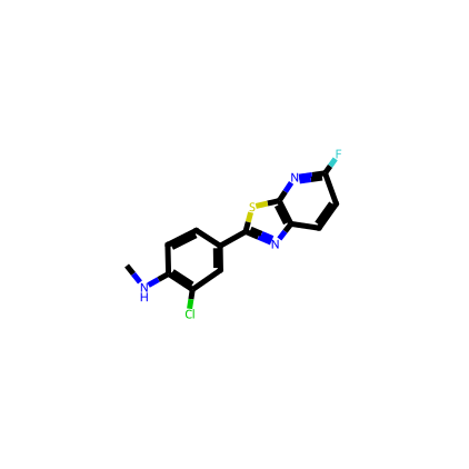 CNc1ccc(-c2nc3ccc(F)nc3s2)cc1Cl